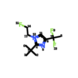 CC(C)(C)c1nc(C(C)(F)F)cn1CCF